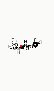 CC1NNC(NC23CC(NC(=O)COc4ccc(Cl)c(F)c4)(C2)C3)O1